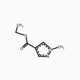 CCOC(=O)c1[c]nn(C)c1